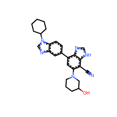 N#Cc1c(N2CCCC(O)C2)cc(-c2ccc3c(c2)ncn3C2CCCCC2)c2nc[nH]c12